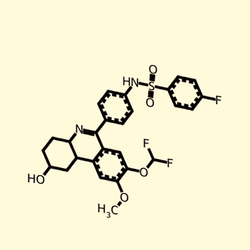 COc1cc2c(cc1OC(F)F)C(c1ccc(NS(=O)(=O)c3ccc(F)cc3)cc1)=NC1CCC(O)CC21